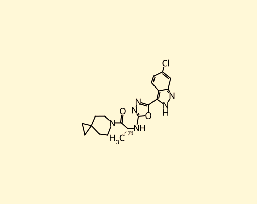 C[C@@H](Nc1nnc(-c2[nH]nc3cc(Cl)ccc23)o1)C(=O)N1CCC2(CC1)CC2